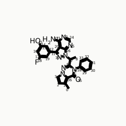 Cc1ccn2nc(C(C)n3nc(-c4cc(O)cc(F)c4)c4c(N)ncnc43)n(-c3ccccc3)c(=O)c12